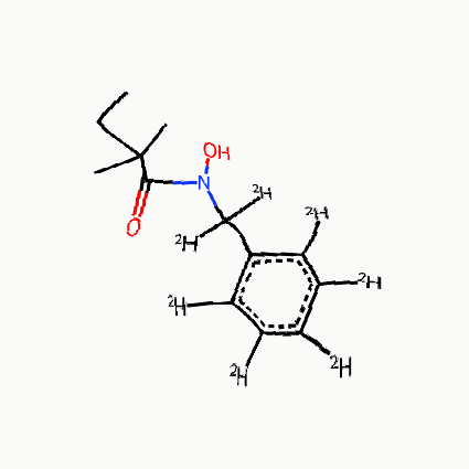 [2H]c1c([2H])c([2H])c(C([2H])([2H])N(O)C(=O)C(C)(C)CC)c([2H])c1[2H]